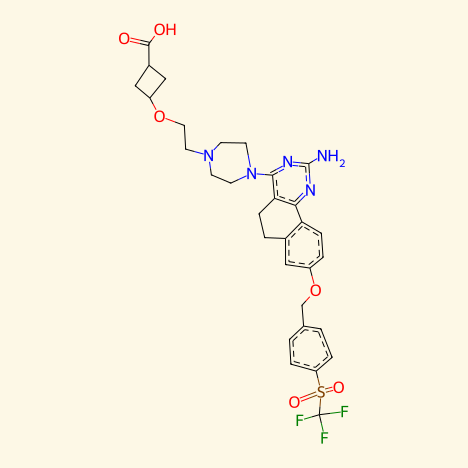 Nc1nc2c(c(N3CCN(CCOC4CC(C(=O)O)C4)CC3)n1)CCc1cc(OCc3ccc(S(=O)(=O)C(F)(F)F)cc3)ccc1-2